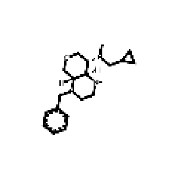 CN(CC1CC1)[C@H]1COC[C@@H]2[C@@H]1NCCN2Cc1ccccc1